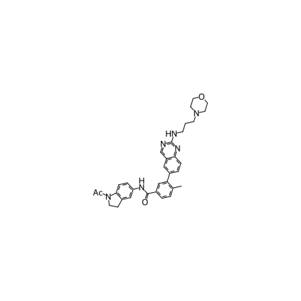 CC(=O)N1CCc2cc(NC(=O)c3ccc(C)c(-c4ccc5nc(NCCCN6CCOCC6)ncc5c4)c3)ccc21